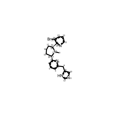 CN1[C@@H](c2cccc(Cc3cnc[nH]3)n2)CCC[C@H]1c1ncccc1Br